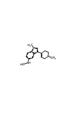 CN1CC=C(c2cn(C)c3ccc(NO)cc23)CC1